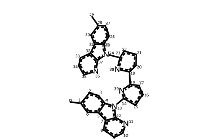 Cc1ccc2c(c1)c1cccnc1n2-c1cccc(-c2cccc(-n3c4ccc(C)cc4c4cccnc43)n2)n1